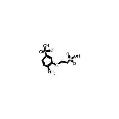 Nc1ccc(S(=O)(=O)O)cc1OCCS(=O)(=O)O